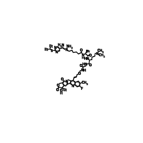 CCC(CC)Sc1ncc(/C(N)=C/N(N)CCCCCC(=O)N[C@H](C(=O)N[C@@H](CCCCN(C)C)C(=O)NCC(=O)NCOC/C=C/c2c3c(nc4cc(F)c(C)cc24)-c2cc4c(c(=O)n2C3)COC(=O)[C@]4(O)CC)C(C)C)cn1